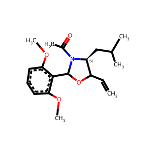 BC(=O)N1C(c2c(OC)cccc2OC)OC(C=C)[C@@H]1CC(C)C